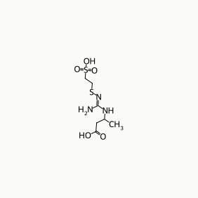 CC(CC(=O)O)N/C(N)=N/SCCS(=O)(=O)O